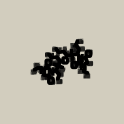 CCCC(OC(CCC)C(C)(C)C(CCC)N1C(=O)CN(CC)C1=O)C(C)(C)C(CC)N1C(=O)CN(CC)C1=O